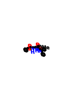 COC(=O)[C@@H](CCCNC(=O)OCc1ccccc1)NC(=O)NC(c1ccccc1)c1ccccc1